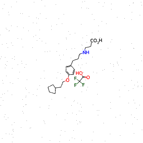 O=C(O)C(F)(F)F.O=C(O)CCNCCCc1ccc(OCCC2CCCC2)cc1